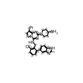 CC(C)c1cnn2c(NCc3c(Cl)cccc3-c3ccc4[nH]cnc4c3)nc(N3CCC(N)CC3)nc12